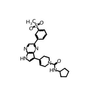 CS(=O)(=O)c1cccc(-c2cnc3[nH]cc(C4=CCN(C(=O)NC5CCCC5)CC4)c3n2)c1